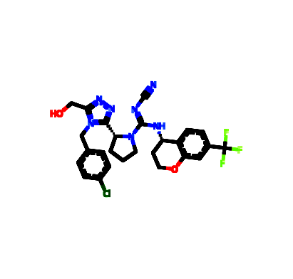 N#C/N=C(\N[C@H]1CCOc2cc(C(F)(F)F)ccc21)N1CCC[C@@H]1c1nnc(CO)n1Cc1ccc(Cl)cc1